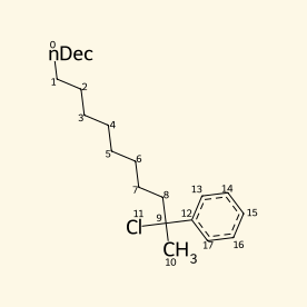 CCCCCCCCCCCCCCCCCCC(C)(Cl)c1ccccc1